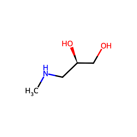 CNC[C@@H](O)CO